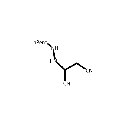 CCCCCNNC(C#N)CC#N